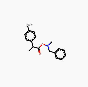 COc1ccc(C(C)C(=O)ON(C)Cc2ccccc2)cc1